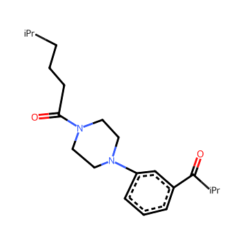 CC(C)CCCC(=O)N1CCN(c2cccc(C(=O)C(C)C)c2)CC1